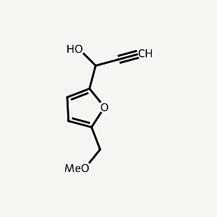 C#CC(O)c1ccc(COC)o1